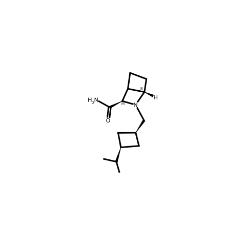 CC(C)[C@H]1C[C@@H](CN2[C@H]3CCC3[C@@H]2C(N)=O)C1